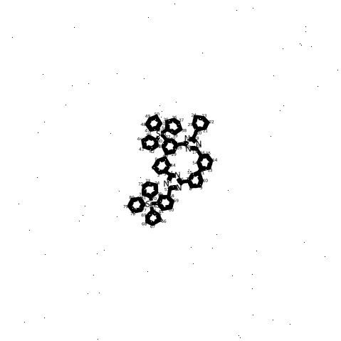 c1ccc(-c2nc(-c3cccc(-c4cccc(-c5nc(-c6ccccc6)nc(-c6cccc([Si](c7ccccc7)(c7ccccc7)c7ccccc7)c6)n5)c4)c3)nc(-c3cccc([Si](c4ccccc4)(c4ccccc4)c4ccccc4)c3)n2)cc1